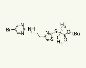 CC(C)(C)OC(=O)C(C)(C)Sc1nc(CCCNc2ncc(Br)cn2)cs1